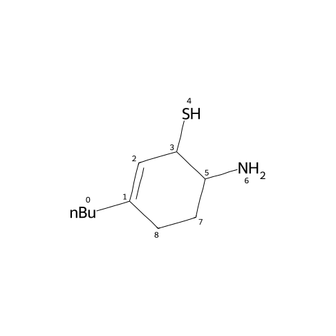 CCCCC1=CC(S)C(N)CC1